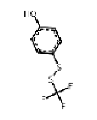 Oc1ccc(SSC(F)(F)F)cc1